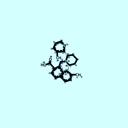 Cc1cccnc1[C@H]1CCC[C@@H](c2ncccc2C)N1Cc1ccccc1C(=O)O